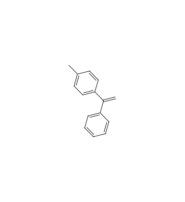 C=C(c1ccccc1)c1ccc(C)cc1